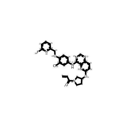 C=CC(=O)N1CCC(Oc2ccc3ncnc(Nc4ccc(OCc5cccc(F)n5)c(Cl)c4)c3n2)C1